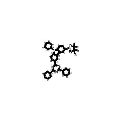 CC1(C)OB(c2ccc3c(c2)c2cc(-c4nc(-c5ccccc5)nc(-c5ccccc5)n4)ccc2n3-c2ccccc2)OC1(C)C